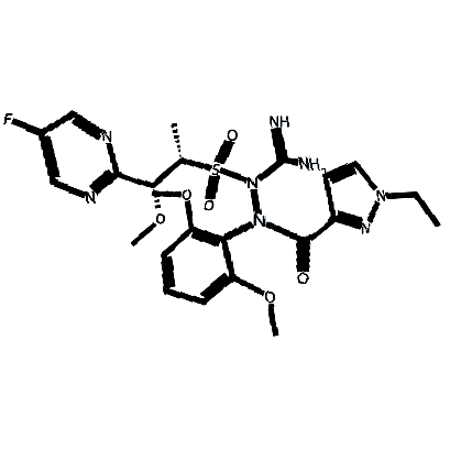 CCn1ccc(C(=O)N(c2c(OC)cccc2OC)N(C(=N)N)S(=O)(=O)[C@@H](C)[C@H](OC)c2ncc(F)cn2)n1